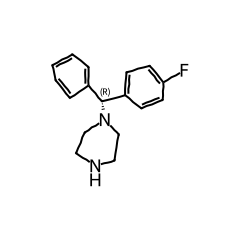 Fc1ccc([C@@H](c2ccccc2)N2CCNCC2)cc1